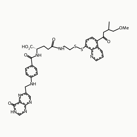 COCC(C)CC(=O)c1ccc(SSCCNC(=O)CC[C@H](NC(=O)c2ccc(NCc3cnc4nc[nH]c(=O)c4n3)cc2)C(=O)O)c2ncccc12